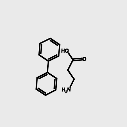 NCCC(=O)O.c1ccc(-c2ccccc2)cc1